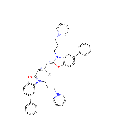 CCC(/C=C1\Oc2ccc(-c3ccccc3)cc2N1CCC[n+]1ccccc1)=C\c1oc2ccc(-c3ccccc3)cc2[n+]1CCC[n+]1ccccc1